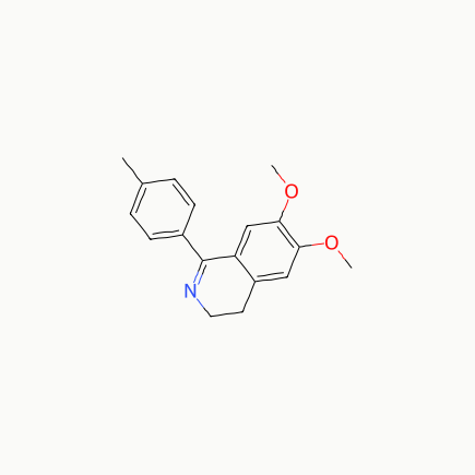 COc1cc2c(cc1OC)C(c1ccc(C)cc1)=NCC2